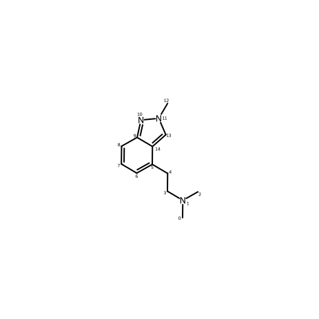 CN(C)CCc1cccc2nn(C)cc12